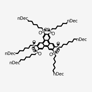 CCCCCCCCCCCCCCCCS(=O)(=O)c1cc2c3cc(S(=O)(=O)CCCCCCCCCCCCCCCC)c(S(=O)(=O)CCCCCCCCCCCCCCCC)cc3c3cc(S(=O)(=O)CCCCCCCCCCCCCCCC)c(S(=O)(=O)CCCCCCCCCCCCCCCC)cc3c2cc1S(=O)(=O)CCCCCCCCCCCCCCCC